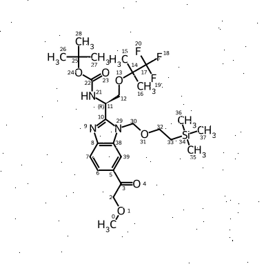 COCC(=O)c1ccc2nc([C@H](COC(C)(C)C(F)(F)F)NC(=O)OC(C)(C)C)n(COCC[Si](C)(C)C)c2c1